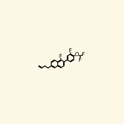 C=CCCc1ccc2c(F)c(-c3ccc(OC(F)F)c(F)c3)ccc2c1